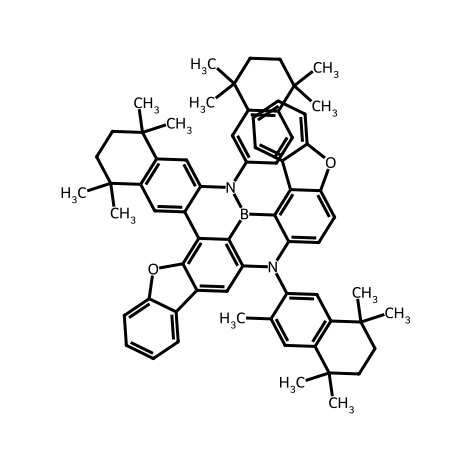 Cc1cc2c(cc1N1c3cc4c(oc5ccccc54)c4c3B(c3c1ccc1oc5ccccc5c31)N(c1ccc3c(c1)C(C)(C)CCC3(C)C)c1cc3c(cc1-4)C(C)(C)CCC3(C)C)C(C)(C)CCC2(C)C